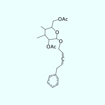 CC(=O)OCC1OC(OCC=C=CCc2ccccc2)C(OC(C)=O)C(C)C1C